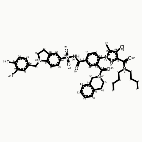 CCCCN(CCCC)C(=O)c1nn(-c2ccc(C(=O)NS(=O)(=O)c3ccc4c(c3)CCN4Cc3ccc(F)c(F)c3)cc2C(=O)N2CCc3ccccc3C2)c(C)c1Cl